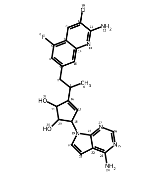 CC(Cc1cc(F)c2cc(Cl)c(N)nc2c1)C1=CC(n2ccc3c(N)ncnc32)C(O)C1O